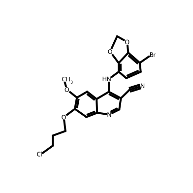 COc1cc2c(Nc3ccc(Br)c4c3OCO4)c(C#N)cnc2cc1OCCCCl